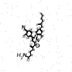 C=C(CCCC)Cc1ccc(-n2nc(C(=O)C(=C)CCCC(C)N)cc2-c2ccc(C#N)c(C)c2)c(F)c1